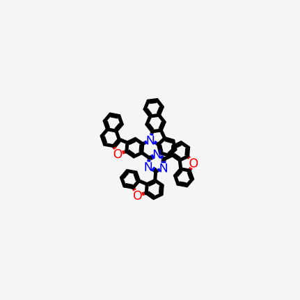 c1ccc2cc3c(cc2c1)c1ccccc1n3-c1cc2c(cc1-c1nc(-c3cccc4oc5ccccc5c34)nc(-c3cccc4oc5ccccc5c34)n1)oc1ccc3ccccc3c12